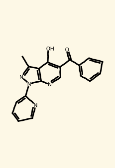 Cc1nn(-c2ccccn2)c2ncc(C(=O)c3ccccc3)c(O)c12